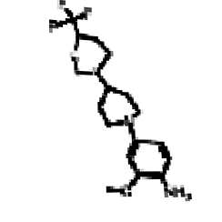 COc1cc(N2CCC(N3CCC(C(F)(F)F)CC3)CC2)ccc1N